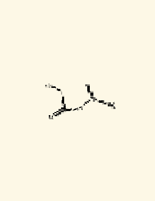 [CH2]C(=O)N(C)OC(=O)SCC